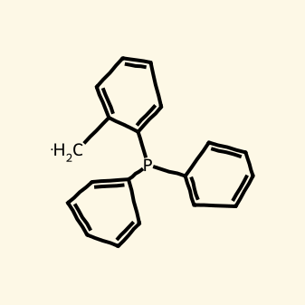 [CH2]c1ccccc1P(c1ccccc1)c1ccccc1